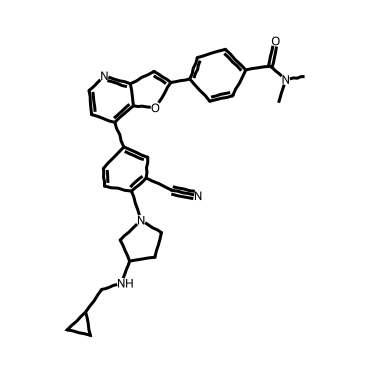 CN(C)C(=O)c1ccc(-c2cc3nccc(-c4ccc(N5CCC(NCC6CC6)C5)c(C#N)c4)c3o2)cc1